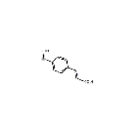 O=CNc1ccc(/C=C/C(=O)O)cc1